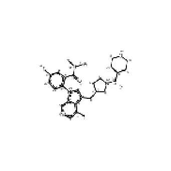 Cc1cncc2c1c(C[C@H]1CCN([C@@H](C)C3CCOCC3)C1)cn2-c1ccc(F)cc1C(=O)N(C)C(C)C